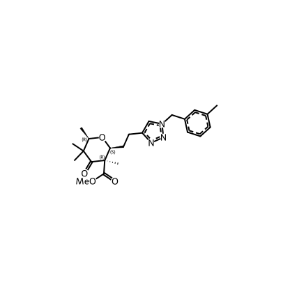 COC(=O)[C@@]1(C)C(=O)C(C)(C)[C@@H](C)O[C@H]1CCc1cn(Cc2cccc(C)c2)nn1